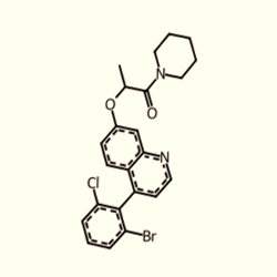 CC(Oc1ccc2c(-c3c(Cl)cccc3Br)ccnc2c1)C(=O)N1CCCCC1